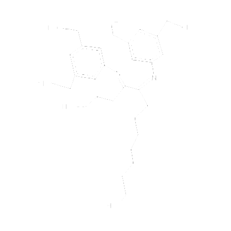 CCCCCCCCC(=Nc1cc(CC)cc(CC)c1)C(CCCC)=Nc1cc(CC)cc(CC)c1.[Pd]